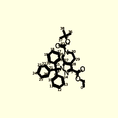 CCOC(=O)c1nn(C(c2ccccc2)(c2ccccc2)c2ccccc2)c2c1CCN(C(=O)OC(C)(C)C)C2